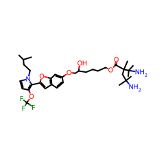 CC(C)CCn1ccc(OC(F)(F)F)c1-c1cc2ccc(OCC(O)CCCCOC(=O)C(C)(CC(C)(C)N)C(C)(C)N)cc2o1